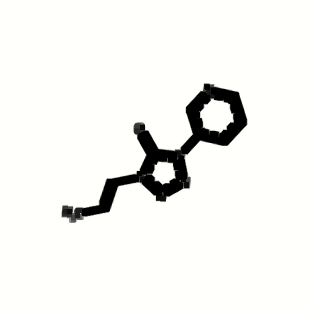 C/C=C/n1nnn(-c2cccnc2)c1=O